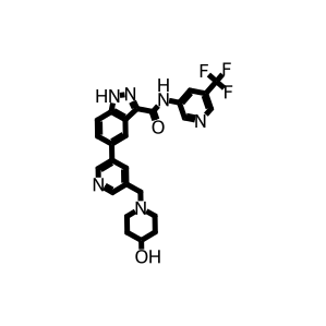 O=C(Nc1cncc(C(F)(F)F)c1)c1n[nH]c2ccc(-c3cncc(CN4CCC(O)CC4)c3)cc12